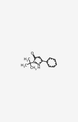 CC(C)(C)n1[nH]c(-c2ccccc2)cc1=O